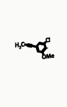 CC#Cc1cc(Cl)[c]c(OC)c1